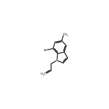 C=CCn1ccc2cc(C)cc(Br)c21